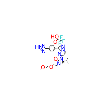 COCCOCCN1C[C@H](C(C)C)N(c2ccn3ncc(-c4ccc(-c5nc[nH]n5)cc4)c3n2)C1=O.O=C(O)C(F)(F)F